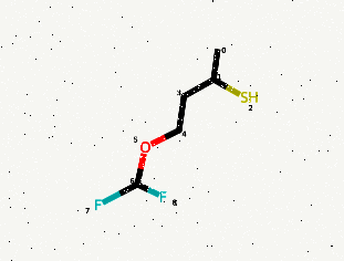 CC(S)CCOC(F)F